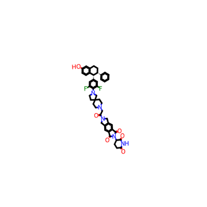 O=C1CCC(N2C(=O)c3cc4c(cc3C2=O)CN(C(=O)CN2CCC3(CC2)CCN(c2c(F)cc([C@@H]5c6ccc(O)cc6CC[C@@H]5c5ccccc5)cc2F)C3)C4)C(=O)N1